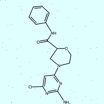 Nc1nc(Cl)cc(N2CCOC(C(=O)Nc3ccccc3)C2)n1